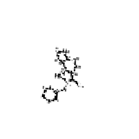 O=c1n(Cc2ccccc2)[nH]c2c3cnnc-3ncn12